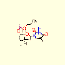 Cc1cn([C@@H]2C[C@@H]3[C@H](O2)[C@H](OP(C)OCCC#N)C[C@H]3C)c(=O)[nH]c1=O